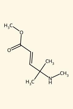 CNC(C)(C)/C=C/C(=O)OC